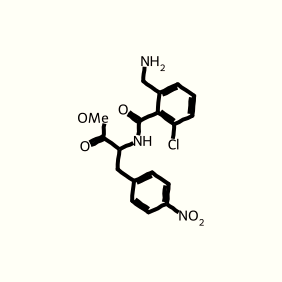 COC(=O)C(Cc1ccc([N+](=O)[O-])cc1)NC(=O)c1c(Cl)cccc1CN